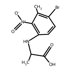 Cc1c(Br)ccc(NC(C)C(=O)O)c1[N+](=O)[O-]